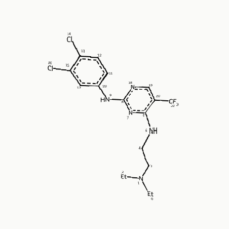 CCN(CC)CCNc1nc(Nc2ccc(Cl)c(Cl)c2)ncc1C(F)(F)F